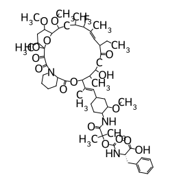 CCC1/C=C(\C)C(F)C(C)CC(OC)C2OC(O)(C(=O)C(=O)N3CCCCC3C(=O)OC(C(C)=CC3CCC(NC(=O)C(C)(C)OC(=O)N[C@@H](Cc4ccccc4)C(=O)O)C(OC)C3)C(C)C(O)CC1=O)C(C)CC2OC